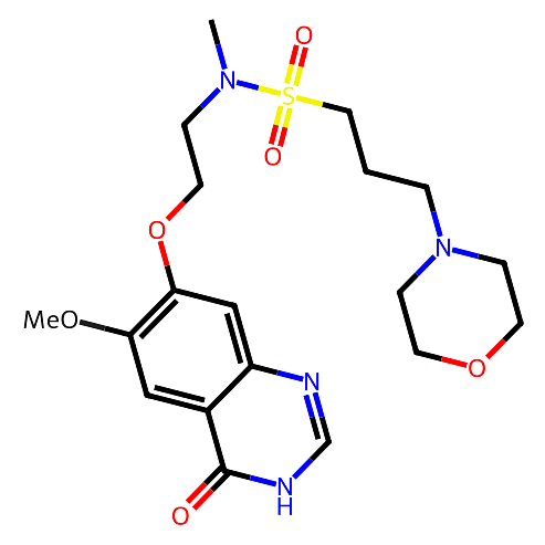 COc1cc2c(=O)[nH]cnc2cc1OCCN(C)S(=O)(=O)CCCN1CCOCC1